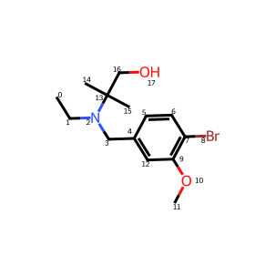 CCN(Cc1ccc(Br)c(OC)c1)C(C)(C)CO